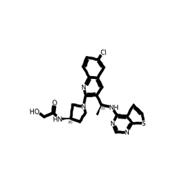 C[C@H](Nc1ncnc2sccc12)c1cc2cc(Cl)ccc2nc1N1CC[C@@H](NC(=O)CO)C1